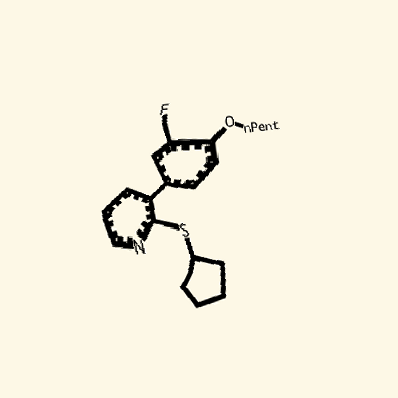 CCCCCOc1ccc(-c2cccnc2SC2CCCC2)cc1F